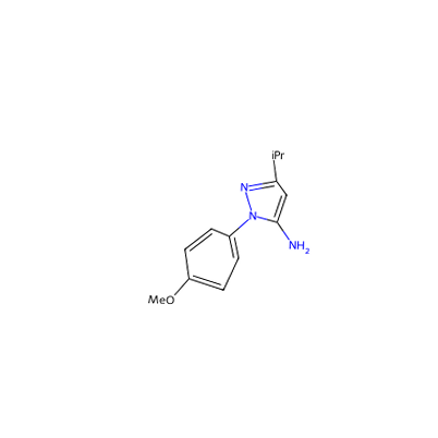 COc1ccc(-n2nc(C(C)C)cc2N)cc1